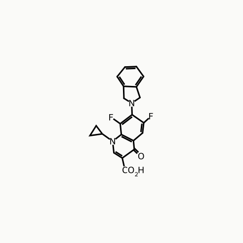 O=C(O)c1cn(C2CC2)c2c(F)c(N3Cc4ccccc4C3)c(F)cc2c1=O